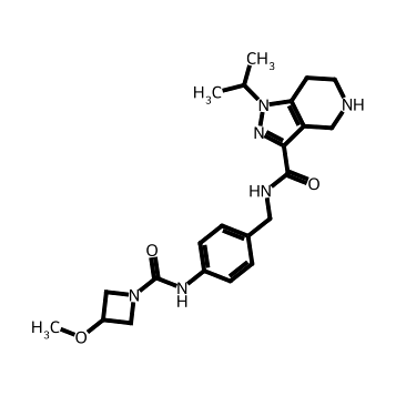 COC1CN(C(=O)Nc2ccc(CNC(=O)c3nn(C(C)C)c4c3CNCC4)cc2)C1